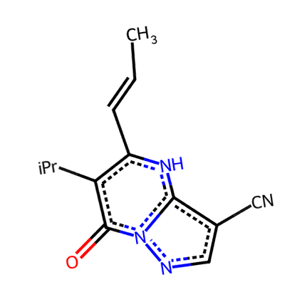 C/C=C/c1[nH]c2c(C#N)cnn2c(=O)c1C(C)C